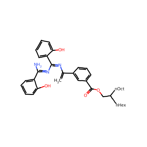 C=C(/N=C(\N=C(/N)c1ccccc1O)c1ccccc1O)c1cccc(C(=O)OCC(CCCCCC)CCCCCCCC)c1